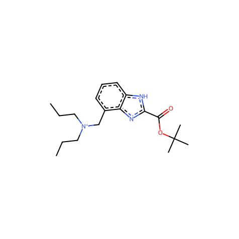 CCC[N+](CCC)Cc1cccc2[nH]c(C(=O)OC(C)(C)C)nc12